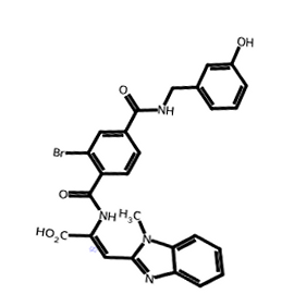 Cn1c(/C=C(\NC(=O)c2ccc(C(=O)NCc3cccc(O)c3)cc2Br)C(=O)O)nc2ccccc21